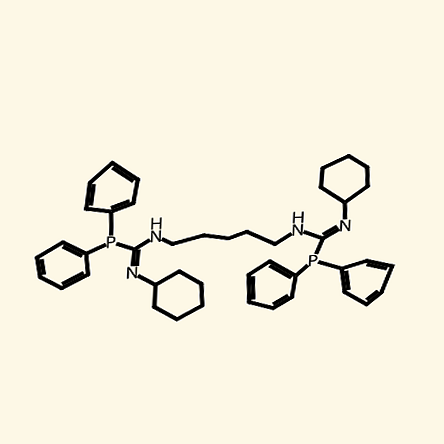 c1ccc(P(/C(=N/C2CCCCC2)NCCCCCN/C(=N\C2CCCCC2)P(c2ccccc2)c2ccccc2)c2ccccc2)cc1